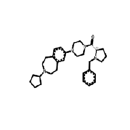 O=C([C@@H]1CCCN1Cc1ccccc1)N1CCN(c2ccc3c(c2)CCN(C2CCCC2)CC3)CC1